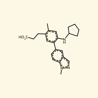 Cc1cc(NC2CCCC2)c(-c2ccc3c(cnn3C)c2)cc1CCC(=O)O